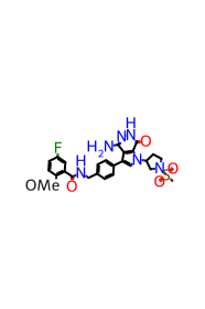 COc1ccc(F)cc1C(=O)NCc1ccc(-c2cn(C3CCN(S(C)(=O)=O)C3)c3c(=O)[nH]nc(N)c23)cc1